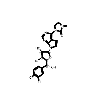 CN1CCN(c2ncnc3c2ccn3[C@@H]2O[C@H]([C@H](O)c3ccc(Cl)c(Cl)c3)[C@@H](O)[C@H]2O)C1=O